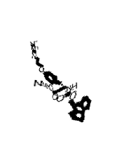 COC(=O)[C@H](Cc1ccc(OCCCN=[N+]=[N-])cc1)NC(=O)OCC1c2ccccc2-c2ccccc21